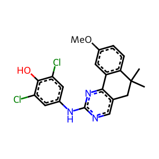 COc1ccc2c(c1)-c1nc(Nc3cc(Cl)c(O)c(Cl)c3)ncc1CC2(C)C